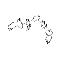 c1cc(-c2nnc(-c3cc4cnccc4cn3)o2)cc(-c2nnc(-c3cc4cnccc4cn3)o2)c1